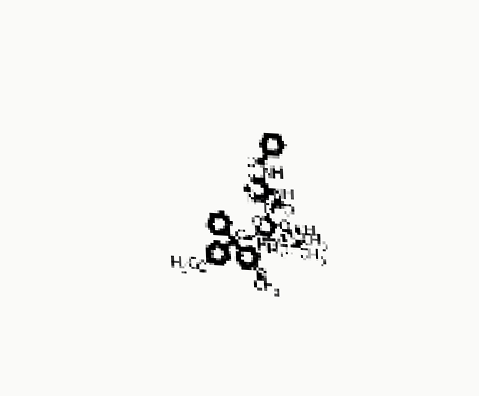 COc1ccc(C(OC[C@H]2O[C@@H](n3c(=O)[nH]c4c(NC(=O)c5ccccc5)ncnc43)[C@H](O[Si](C)(C)C(C)(C)C)[C@@H]2O)(c2ccccc2)c2ccc(OC)cc2)cc1